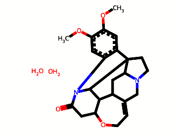 COc1cc2c(cc1OC)C13CCN4CC5=CCOC6CC(=O)N2C1C6C5CC43.O.O